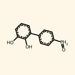 O=[PH2]c1ccc(-c2cccc(O)c2O)cc1